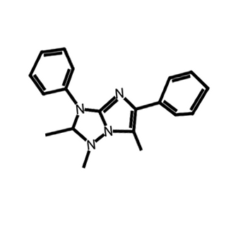 Cc1c(-c2ccccc2)nc2n1N(C)C(C)N2c1ccccc1